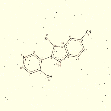 N#Cc1ccc2[nH]c(-c3cnccc3O)c(Br)c2c1